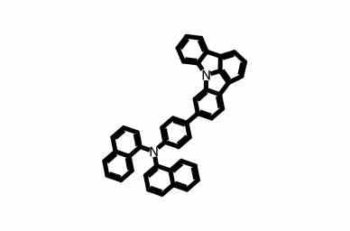 c1ccc2c(N(c3ccc(-c4ccc5c6cccc7c8ccccc8n(c5c4)c76)cc3)c3cccc4ccccc34)cccc2c1